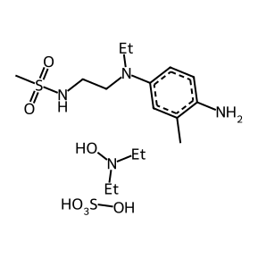 CCN(CCNS(C)(=O)=O)c1ccc(N)c(C)c1.CCN(O)CC.O=S(=O)(O)O